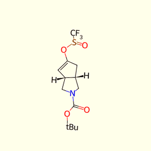 CC(C)(C)OC(=O)N1C[C@H]2CC(OS(=O)C(F)(F)F)=C[C@H]2C1